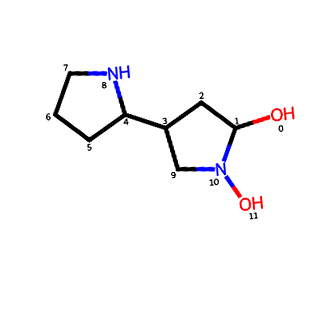 OC1CC(C2CCCN2)CN1O